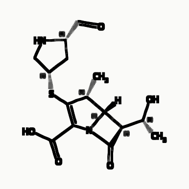 C[C@@H](O)[C@H]1C(=O)N2C(C(=O)O)=C(S[C@@H]3CN[C@H](C=O)C3)[C@H](C)[C@H]12